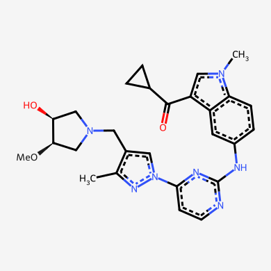 CO[C@@H]1CN(Cc2cn(-c3ccnc(Nc4ccc5c(c4)c(C(=O)C4CC4)cn5C)n3)nc2C)C[C@@H]1O